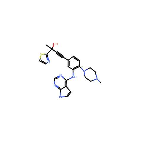 CN1CCN(c2ccc(C#CC(C)(O)c3nccs3)cc2Nc2ncnc3[nH]ccc23)CC1